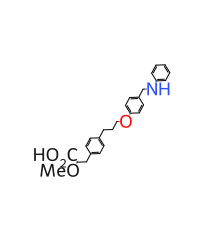 CO[C@@H](Cc1ccc(CCCOc2ccc(CNc3ccccc3)cc2)cc1)C(=O)O